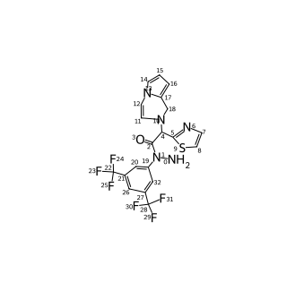 NN(C(=O)C(c1nccs1)N1C=Cn2cccc2C1)c1cc(C(F)(F)F)cc(C(F)(F)F)c1